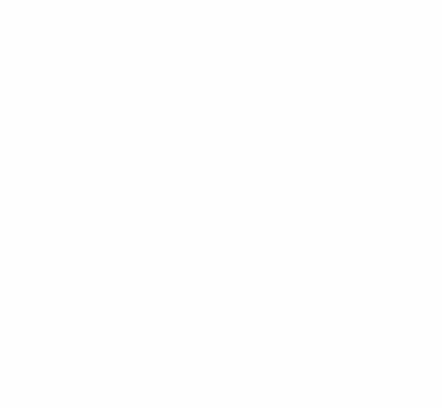 C=C/C=C\C(=C/C=C)C1(c2ccccc2)C(/C=C\C)=C(C=C)C(=C/C=C)/C1=C\C=C